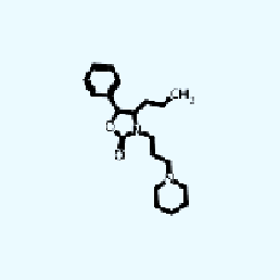 CCCC1C(c2ccccc2)OC(=O)N1CCCN1CCCCC1